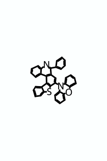 c1ccc(-c2nc3ccccc3c3c2cc(N2c4ccccc4Oc4ccccc42)c2sc4ccccc4c23)cc1